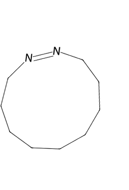 C1CCCC/N=N\CCCC1